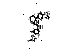 Cc1ncn(-c2c(F)cc(Nc3nc4n(n3)CCCCC4c3ccc(OC(F)(F)F)cc3)cc2F)n1